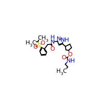 CCCNC(=O)OC1CCC(c2cc(NC(=O)Cc3ccccc3S(=O)(=O)C(C)C)n[nH]2)C1